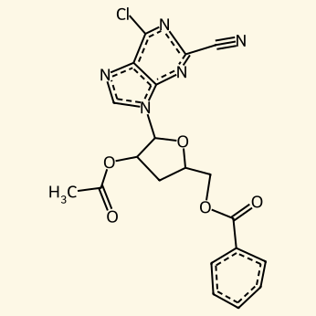 CC(=O)OC1CC(COC(=O)c2ccccc2)OC1n1cnc2c(Cl)nc(C#N)nc21